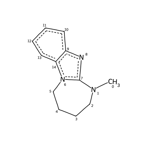 CN1CCCCn2c1nc1ccccc12